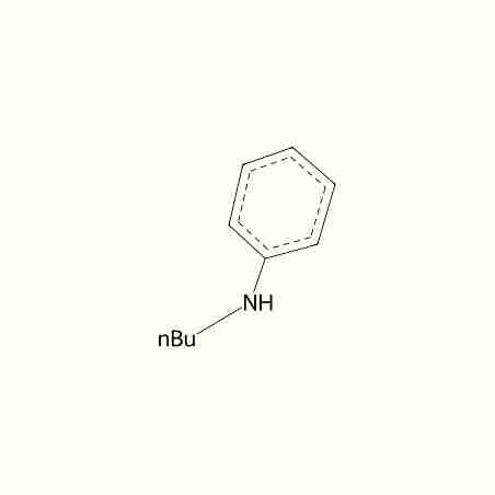 CC[CH]CNc1ccccc1